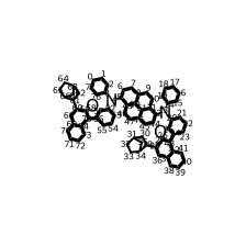 c1ccc(N(c2ccc3ccc4c(N(c5ccccc5)c5cccc6c5oc5c(C7CC8CCC7C8)cc7ccccc7c56)ccc5ccc2c3c54)c2cccc3c2oc2c(C4CC5CCC4C5)cc4ccccc4c23)cc1